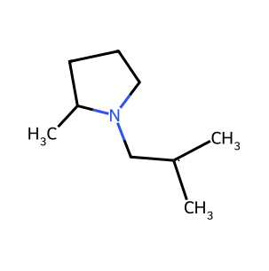 C[C](C)CN1CCCC1C